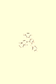 Cc1ccc(Cl)cc1-c1nnn(Cc2ccccc2)c1-c1ccc2ncccc2n1